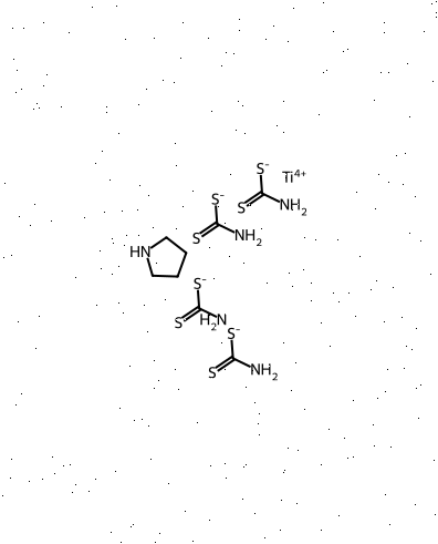 C1CCNC1.NC(=S)[S-].NC(=S)[S-].NC(=S)[S-].NC(=S)[S-].[Ti+4]